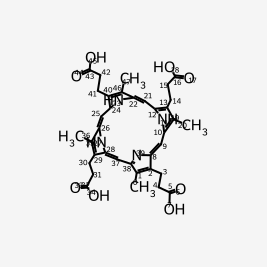 CC1=C(CCC(=O)O)/C2=C/c3[nH]c(c(CCC(=O)O)c3C)/C=C3\NC(/C=c4\[nH]/c(c(CCC(=O)O)c4C)=C\C1=N2)C(CCC(=O)O)=C3C